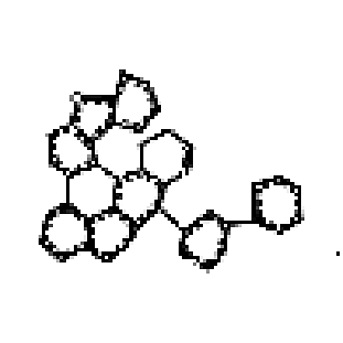 C1=Cc2c(c(-c3c(-c4ccccc4)ccc4oc5ccccc5c34)c3ccccc3c2-c2cccc(-c3ccccc3)c2)CC1